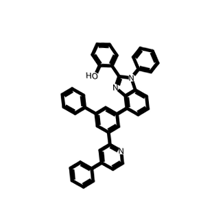 Oc1ccccc1-c1nc2c(-c3cc(-c4ccccc4)cc(-c4cc(-c5ccccc5)ccn4)c3)cccc2n1-c1ccccc1